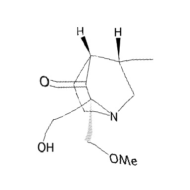 COC[C@]1(CO)C(=O)[C@@H]2CCN1C[C@H]2C